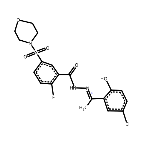 C/C(=N\NC(=O)c1cc(S(=O)(=O)N2CCOCC2)ccc1F)c1cc(Cl)ccc1O